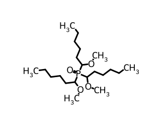 CCCCCC(OC)P(=O)(C(CCCCC)OC)C(CCCCC)OC